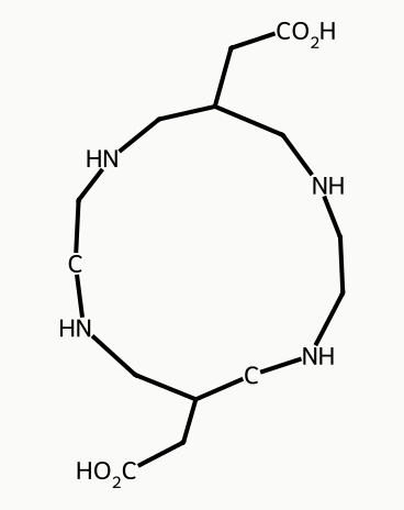 O=C(O)CC1CNCCNCC(CC(=O)O)CNCCNC1